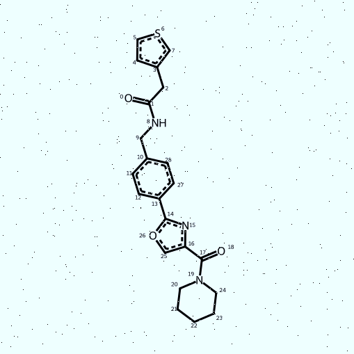 O=C(Cc1ccsc1)NCc1ccc(-c2nc(C(=O)N3CCCCC3)co2)cc1